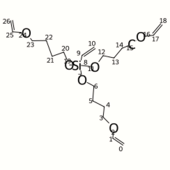 C=COCCCCO[Si](C=C)(OCCCCOC=C)OCCCCOC=C